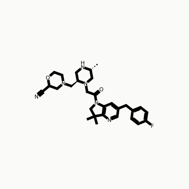 C[C@@H]1CN(CC(=O)N2CC(C)(C)c3ncc(Cc4ccc(F)cc4)cc32)[C@@H](CN2CCOC(C#N)C2)CN1